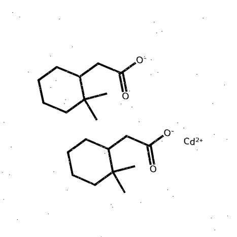 CC1(C)CCCCC1CC(=O)[O-].CC1(C)CCCCC1CC(=O)[O-].[Cd+2]